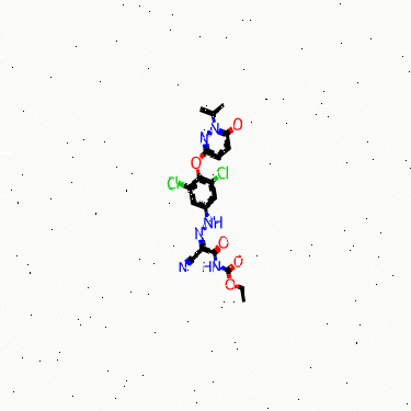 CCOC(=O)NC(=O)C(C#N)=NNc1cc(Cl)c(Oc2ccc(=O)n(C(C)C)n2)c(Cl)c1